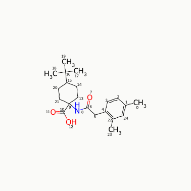 Cc1ccc(CC(=O)NC2(C(=O)O)CCC(C(C)(C)C)CC2)c(C)c1